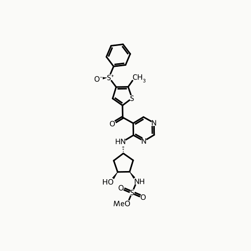 COS(=O)(=O)N[C@@H]1C[C@@H](Nc2ncncc2C(=O)c2cc([S@@+]([O-])c3ccccc3)c(C)s2)C[C@@H]1O